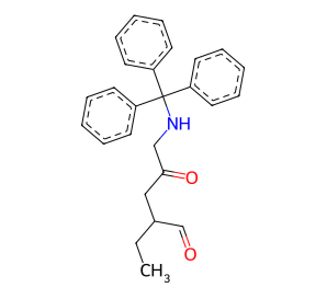 CCC(C=O)CC(=O)CNC(c1ccccc1)(c1ccccc1)c1ccccc1